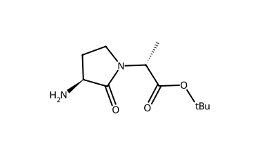 C[C@H](C(=O)OC(C)(C)C)N1CC[C@H](N)C1=O